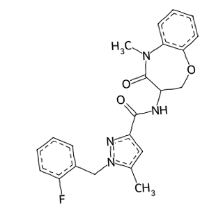 Cc1cc(C(=O)NC2COc3ccccc3N(C)C2=O)nn1Cc1ccccc1F